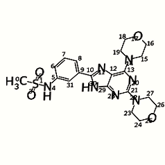 CS(=O)(=O)Nc1cccc(-c2nc3c(N4CCOCC4)nc(N4CCOCC4)nc3[nH]2)c1